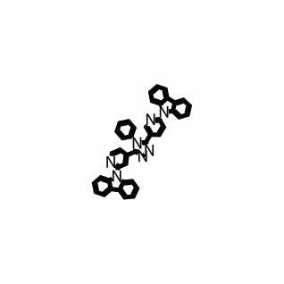 c1ccc(-n2c(-c3ccc(-n4c5ccccc5c5ccccc54)nc3)nnc2-c2ccnc(-n3c4ccccc4c4ccccc43)c2)cc1